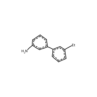 CCc1cccc(-c2cccc(N)c2)c1